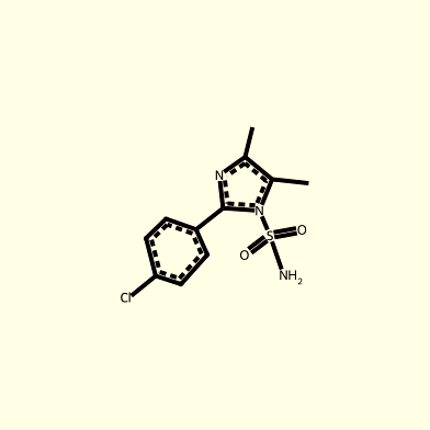 Cc1nc(-c2ccc(Cl)cc2)n(S(N)(=O)=O)c1C